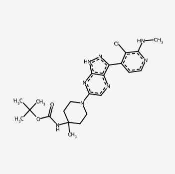 CNc1nccc(-c2n[nH]c3nc(N4CCC(C)(NC(=O)OC(C)(C)C)CC4)cnc23)c1Cl